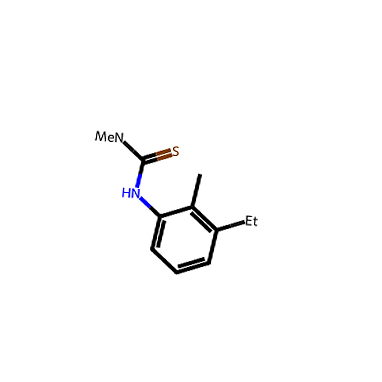 CCc1cccc(NC(=S)NC)c1C